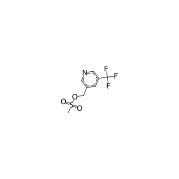 CS(=O)(=O)OCc1cncc(C(F)(F)F)c1